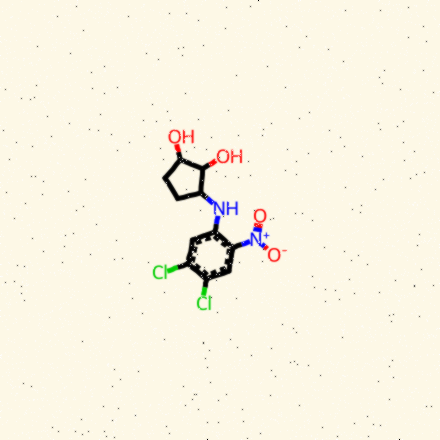 O=[N+]([O-])c1cc(Cl)c(Cl)cc1NC1CCC(O)C1O